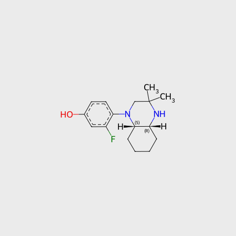 CC1(C)CN(c2ccc(O)cc2F)[C@H]2CCCC[C@H]2N1